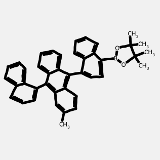 Cc1ccc2c(-c3ccc(B4OC(C)(C)C(C)(C)O4)c4ccccc34)c3ccccc3c(-c3cccc4ccccc34)c2c1